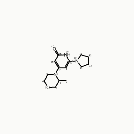 CC1COCCN1c1cc(N2CCCC2)[nH]c(=O)c1